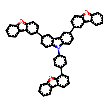 c1ccc2c(c1)oc1ccc(-c3ccc4c(c3)c3cc(-c5ccc6oc7ccccc7c6c5)ccc3n4-c3ccc(-c4cccc5c4oc4ccccc45)cc3)cc12